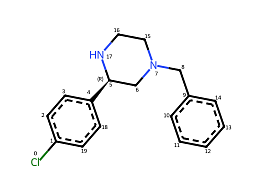 Clc1ccc([C@@H]2CN(Cc3ccccc3)CCN2)cc1